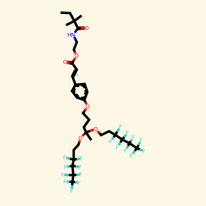 CCC(C)(C)C(=O)NCCOC(=O)/C=C/c1ccc(OCCCC(C)(OCCC(F)(F)C(F)(F)C(F)(F)C(F)(F)F)OCCC(F)(F)C(F)(F)C(F)(F)C(F)(F)F)cc1